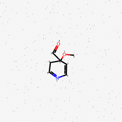 COC1(C=O)C=CN=CC1